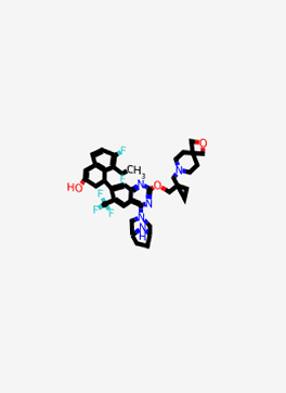 CCc1c(F)ccc2c1C(c1c(C(F)(F)F)cc3c(N4CC5CCC(C4)N5)nc(OCC4(CN5CCC6(CC5)COC6)CC4)nc3c1F)CC(O)=C2